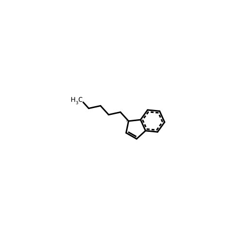 CCCCC[C]1C=Cc2ccccc21